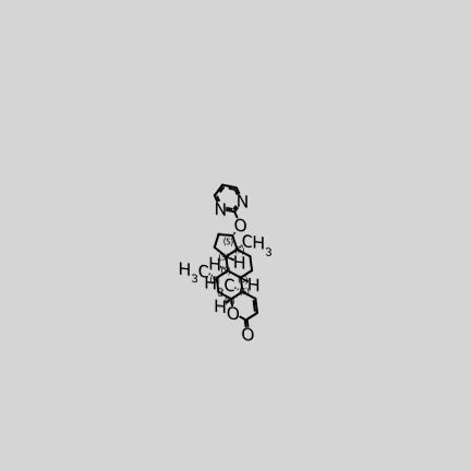 C[C@H]1C[C@H]2OC(=O)C=C[C@]2(C)[C@H]2CC[C@]3(C)[C@@H](Oc4ncccn4)CC[C@H]3[C@H]12